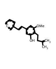 C=C(C)CCc1c(O)cc(/C=C/c2ccccc2)cc1OC